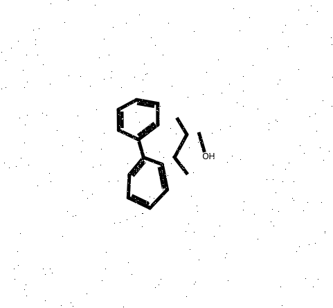 CCCC.CO.c1ccc(-c2ccccc2)cc1